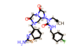 C#CCN(C(=O)NCC1=CCC(F)C=C1)N1CC(=O)N2CC(=O)N(Cc3cccc4sc(N)nc34)CC21